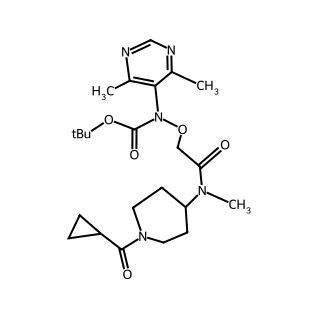 Cc1ncnc(C)c1N(OCC(=O)N(C)C1CCN(C(=O)C2CC2)CC1)C(=O)OC(C)(C)C